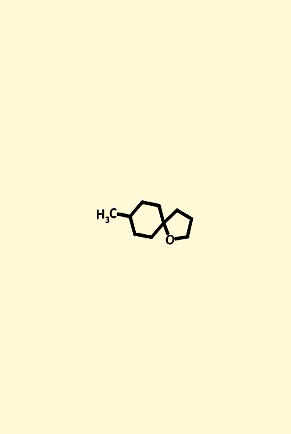 CC1CCC2(CCCO2)CC1